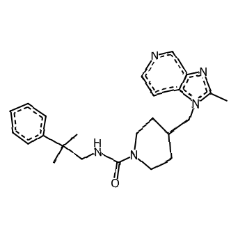 Cc1nc2cnccc2n1CC1CCN(C(=O)NCC(C)(C)c2ccccc2)CC1